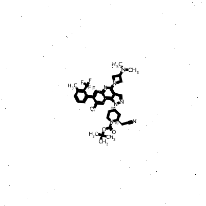 Cc1cccc(-c2c(Cl)cc3c(nc(N4CC(N(C)C)C4)c4cnn([C@H]5CCN(C(=O)OC(C)(C)C)[C@H](CC#N)C5)c43)c2F)c1C(F)(F)F